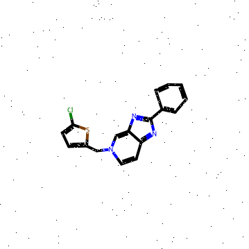 Clc1ccc(Cn2ccc3nc(-c4ccccc4)nc-3c2)s1